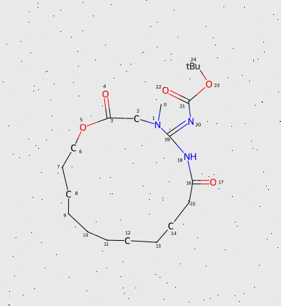 CN1CC(=O)OCCCCCCCCCCC(=O)N/C1=N/C(=O)OC(C)(C)C